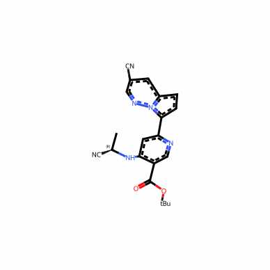 C[C@H](C#N)Nc1cc(-c2ccc3cc(C#N)cnn23)ncc1C(=O)OC(C)(C)C